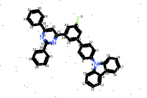 Fc1cc(-c2ccc(-n3c4ccccc4c4ccccc43)cc2)cc(-c2cc(-c3ccccc3)nc(-c3ccccc3)n2)c1